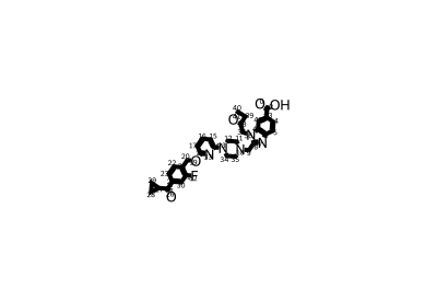 O=C(O)c1ccc2nc(CN3CCN(c4cccc(OCc5ccc(C(=O)C6CC6)cc5F)n4)CC3)n(CC3CCO3)c2c1